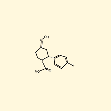 O=C(O)N1CC/C(=N/O)C[C@@H]1c1ccc(F)cc1